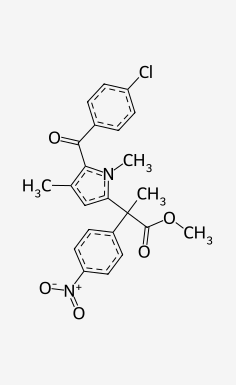 COC(=O)C(C)(c1ccc([N+](=O)[O-])cc1)c1cc(C)c(C(=O)c2ccc(Cl)cc2)n1C